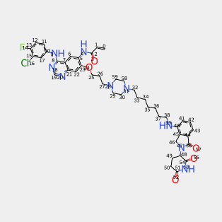 C=CC(=O)Nc1cc2c(Nc3ccc(F)c(Cl)c3)ncnc2cc1OCCCN1CCN(CCCCCCCNc2cccc3c2CN(C2CCC(=O)NC2=O)C3=O)CC1